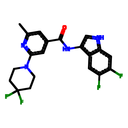 Cc1cc(C(=O)Nc2c[nH]c3cc(F)c(F)cc23)cc(N2CCC(F)(F)CC2)n1